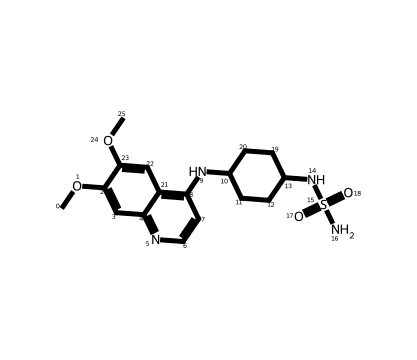 COc1cc2nccc(NC3CCC(NS(N)(=O)=O)CC3)c2cc1OC